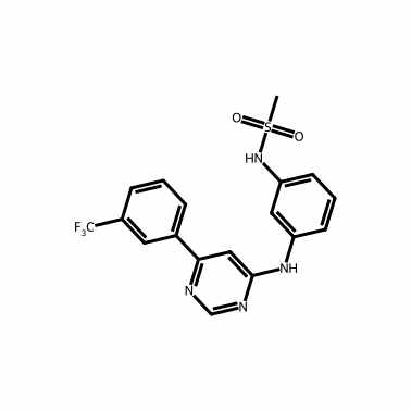 CS(=O)(=O)Nc1cccc(Nc2cc(-c3cccc(C(F)(F)F)c3)ncn2)c1